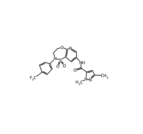 Cc1cc(C(=O)Nc2cnc3c(c2)S(=O)(=O)N(c2ccc(C(F)(F)F)cc2)CCO3)n(C)n1